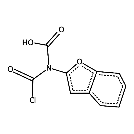 O=C(O)N(C(=O)Cl)c1cc2ccccc2o1